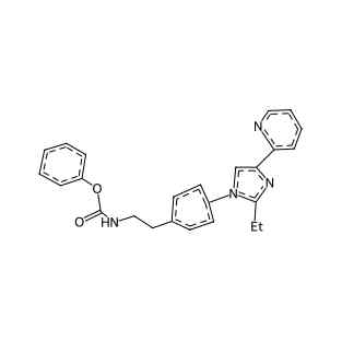 CCc1nc(-c2ccccn2)cn1-c1ccc(CCNC(=O)Oc2ccccc2)cc1